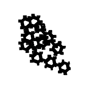 c1ccc(-c2ccc(-c3cccc(N(c4ccccc4)c4ccccc4-c4cccc(-c5cccc6ccc7oc(-c8ccc(-c9ccccc9)cc8)nc7c56)c4)c3)cc2)cc1